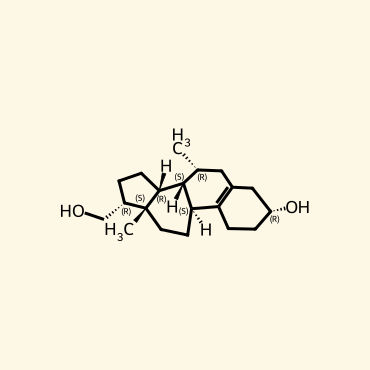 C[C@@H]1CC2=C(CC[C@@H](O)C2)[C@H]2CC[C@]3(C)[C@H](CO)CC[C@@H]3[C@H]12